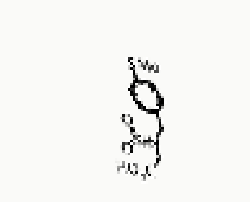 CSc1ccc(CN(CC(=O)O)[SH](=O)=O)cc1